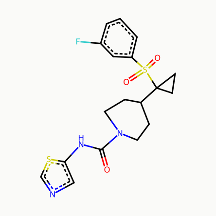 O=C(Nc1cncs1)N1CCC(C2(S(=O)(=O)c3cccc(F)c3)CC2)CC1